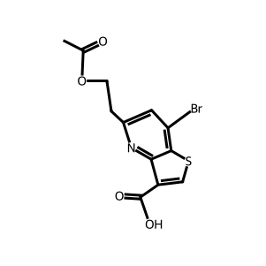 CC(=O)OCCc1cc(Br)c2scc(C(=O)O)c2n1